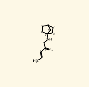 CC=CC(=S)CNC12CCC(CC1)C2